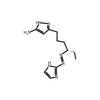 CC[C@@H](CCCc1cc(N)[nH]n1)/N=N/c1ncc[nH]1